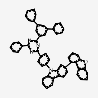 c1ccc(-c2cc(-c3ccccc3)cc(-c3nc(-c4ccccc4)nc(-c4ccc(-n5c6ccccc6c6ccc(-c7cccc8oc9ccccc9c78)cc65)cc4)n3)c2)cc1